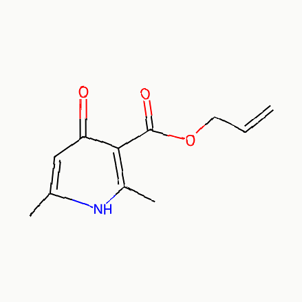 C=CCOC(=O)c1c(C)[nH]c(C)cc1=O